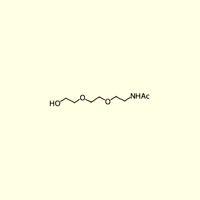 CC(=O)NCCOCCOCCO